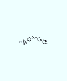 CCc1noc(-c2ccc(OCCC3CCN(c4ccc(C)nn4)CC3)cc2)n1